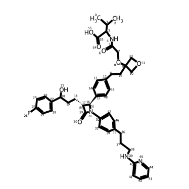 CC(C)C(NC(=O)COC1(CCc2ccc([C@@H]3[C@@H](CCC(O)c4ccc(F)cc4)C(=O)N3c3ccc(CCCNc4ccccn4)cc3)cc2)COC1)C(=O)O